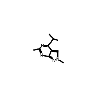 Cc1nc(C(C)C)c2cn(C)nc2n1